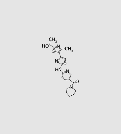 Cc1nc(C(C)O)sc1-c1csc(Nc2ccc(C(=O)N3CCCCC3)cn2)n1